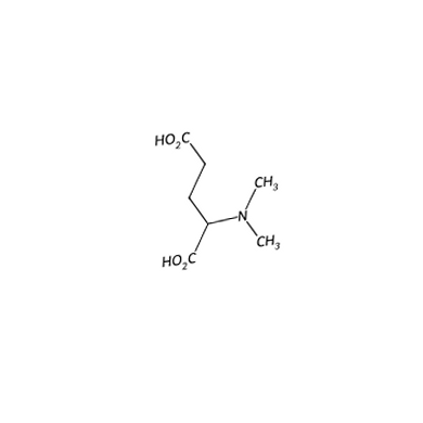 CN(C)C(CCC(=O)O)C(=O)O